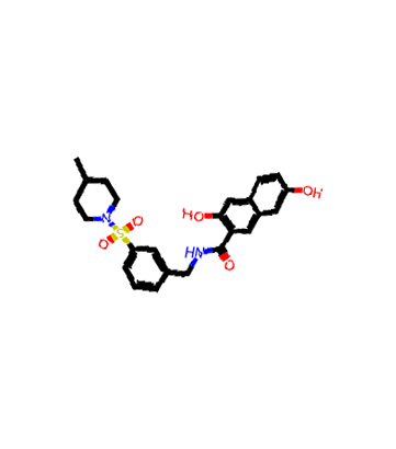 CC1CCN(S(=O)(=O)c2cccc(CNC(=O)c3cc4cc(O)ccc4cc3O)c2)CC1